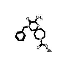 CC1OC2(CCCN(C(=O)OC(C)(C)C)CC2)CN(Cc2ccccc2)C1=O